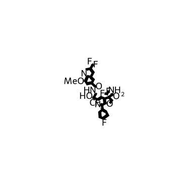 COc1cc(C(=O)NCC(O)(c2cc3c(c(-c4ccc(F)cc4)n2)OC[C@@]3(C(N)=O)C(F)F)C(F)(F)F)cc2cc(C(F)F)cnc12